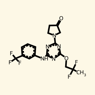 CC(F)(F)COc1nc(Nc2cccc(C(F)(F)F)c2)nc(N2CCC(=O)C2)n1